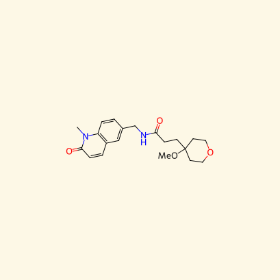 COC1(CCC(=O)NCc2ccc3c(ccc(=O)n3C)c2)CCOCC1